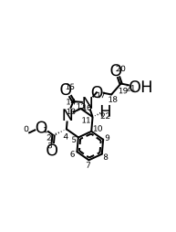 COC(=O)[C@H]1c2ccccc2[C@H]2CN1C(=O)N2OCC(=O)O